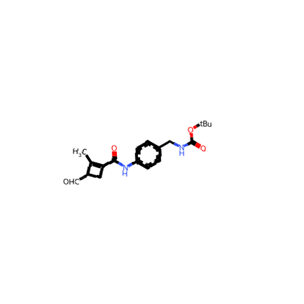 CC1=C(C(=O)Nc2ccc(CNC(=O)OC(C)(C)C)cc2)CC1C=O